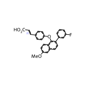 COc1ccc2c(Oc3ccc(/C=C/C(=O)O)cc3)c(-c3cccc(F)c3)ccc2c1